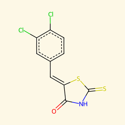 O=C1NC(=S)S/C1=C\c1ccc(Cl)c(Cl)c1